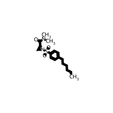 CCCCCCc1ccc(S(=O)(=O)N2CC2C(=O)N(C)C)cc1